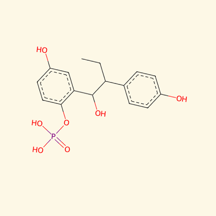 CCC(c1ccc(O)cc1)C(O)c1cc(O)ccc1OP(=O)(O)O